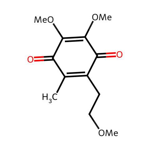 COCCC1=C(C)C(=O)C(OC)=C(OC)C1=O